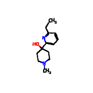 CCc1cccc(C2(O)CCN(C)CC2)n1